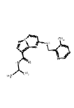 Cc1cccnc1CNc1ccn2ncc(C(=O)NC(C)C)c2n1